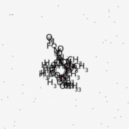 CC[C@H]1OC(=O)[C@H](C)[C@@H](O[C@H]2C[C@@](C)(OC)[C@@H](O)[C@H](C)O2)[C@H](C)[C@@H](O[C@@H]2C[C@H](C)C[C@H](N(C)CCc3nnn(C[C@H]4CN(c5ccc(N6CCOCC6)c(F)c5)C(=O)O4)n3)[C@H]2O)[C@](C)(O)C[C@@H](C)CN(C)[C@H](C)[C@@H](O)[C@]1(C)O